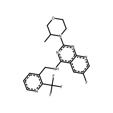 CC1COCCN1c1nc(NCc2cccnc2C(F)(F)F)c2cc(F)cnc2n1